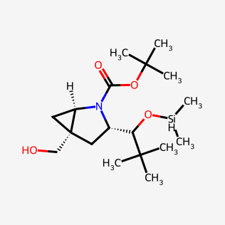 C[SiH](C)OC([C@@H]1C[C@@]2(CO)C[C@H]2N1C(=O)OC(C)(C)C)C(C)(C)C